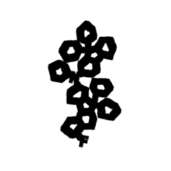 Fc1cccc2c3c(ccc12)C(c1ccccc1)(c1ccccc1)c1cc(N(c2ccccc2)c2ccc4c(c2)C(c2ccccc2)(c2ccccc2)c2ccccc2-4)ccc1-3